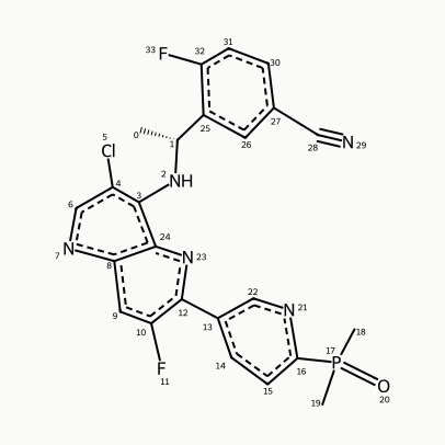 C[C@@H](Nc1c(Cl)cnc2cc(F)c(-c3ccc(P(C)(C)=O)nc3)nc12)c1cc(C#N)ccc1F